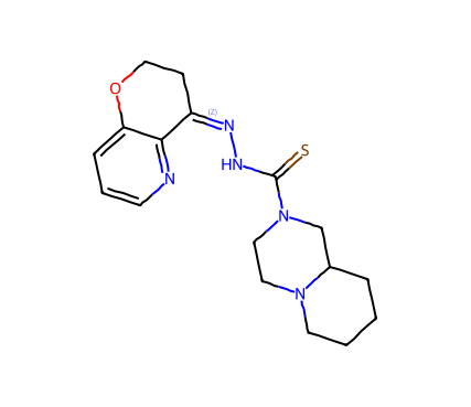 S=C(N/N=C1/CCOc2cccnc21)N1CCN2CCCCC2C1